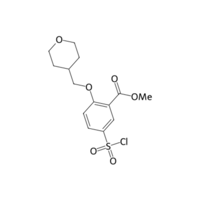 COC(=O)c1cc(S(=O)(=O)Cl)ccc1OCC1CCOCC1